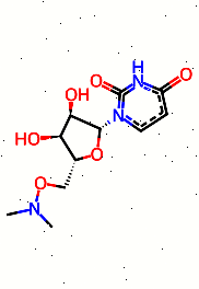 CN(C)OC[C@H]1O[C@@H](n2ccc(=O)[nH]c2=O)[C@H](O)[C@@H]1O